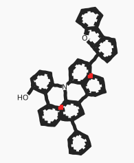 Oc1cccc(N(c2ccc(-c3cccc4c3oc3ccccc34)cc2)c2ccc(-c3ccccc3)cc2-c2ccccc2)c1-c1ccccc1